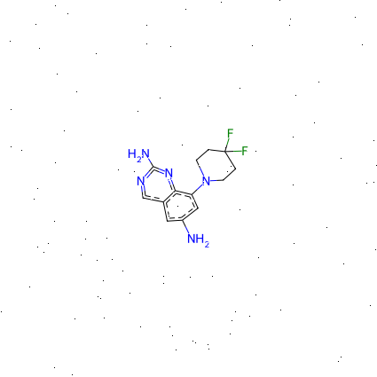 Nc1cc(N2CCC(F)(F)CC2)c2nc(N)ncc2c1